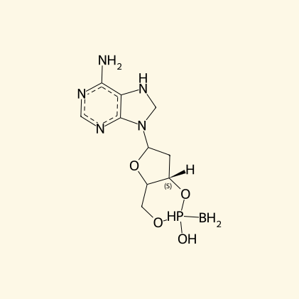 B[PH]1(O)OCC2OC(N3CNc4c(N)ncnc43)C[C@@H]2O1